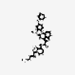 CC1=C(NC(=O)c2sc3nccc4c3c2NC(=O)N4c2ccc(Oc3ccccc3)cc2C)CCCN1C(=O)/C(F)=C/CN